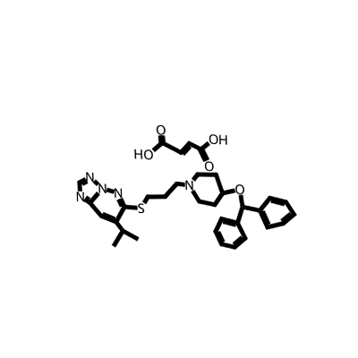 CC(C)c1cc2ncnn2nc1SCCCN1CCC(OC(c2ccccc2)c2ccccc2)CC1.O=C(O)C=CC(=O)O